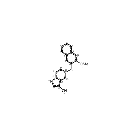 COc1nc2ccccc2cc1Cc1ccn2ncc(C#N)c2c1